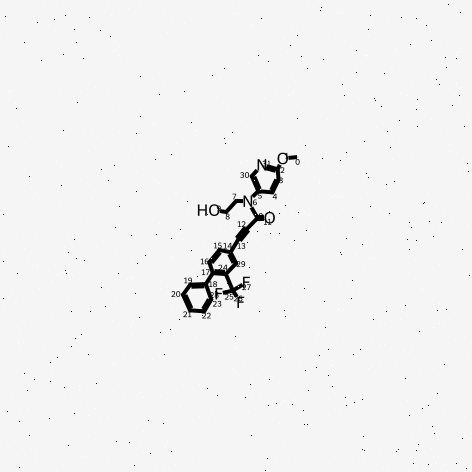 COc1ccc(N(CCO)C(=O)C#Cc2ccc(-c3ccccc3)c(C(F)(F)F)c2)cn1